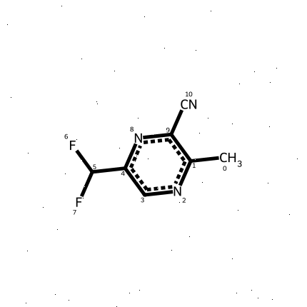 Cc1ncc(C(F)F)nc1C#N